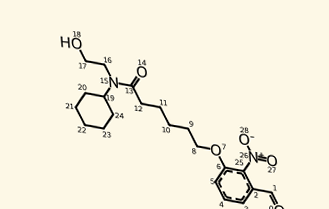 O=Cc1cccc(OCCCCCC(=O)N(CCO)C2CCCCC2)c1[N+](=O)[O-]